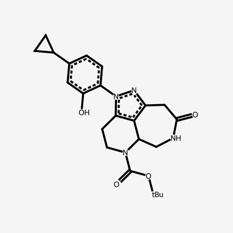 CC(C)(C)OC(=O)N1CCc2c3c(nn2-c2ccc(C4CC4)cc2O)CC(=O)NCC31